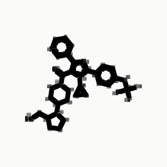 O=C(c1c(-c2cccnc2)nc(-c2ccc(OC(F)(F)F)cc2)n1C1CC1)N1CCC(N2CCCC2CO)CC1